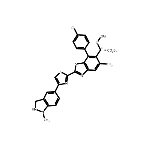 CCOC(=O)[C@@H](OC(C)(C)C)c1c(C)cc2nc(-c3nc(-c4ccc5c(c4)CNN5C)cs3)sc2c1-c1ccc(Cl)cc1